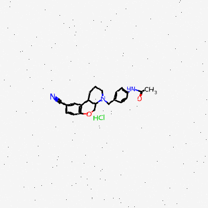 CC(=O)Nc1ccc(CN2CCCC3c4cc(C#N)ccc4OCC32)cc1.Cl